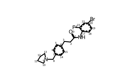 O=C(CCc1ccc(CN2CCCC2)cc1)Nc1ccc(Br)cc1F